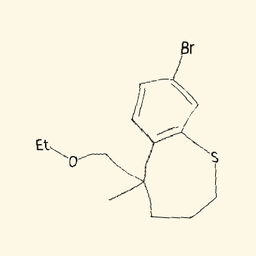 CCOCC1(C)CCCSc2cc(Br)ccc21